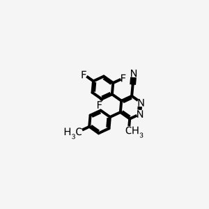 Cc1ccc(-c2c(C)nnc(C#N)c2-c2c(F)cc(F)cc2F)cc1